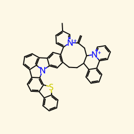 C=C1CC2C(CCc3cc4c(cc3-c3ccc(C)c[n+]31)c1cccc3c5ccc6c7ccccc7sc6c5n4c13)c1ccccc1-c1cccc[n+]12